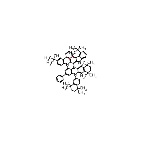 CC(C)(C)c1ccc(N2c3cc(-c4ccccc4)cc4c3B(c3cc5c(cc3N4c3ccc4c(c3)C(C)(C)CCC4(C)C)C(C)(C)CCC5(C)C)c3c2ccc2c3sc3cccc(C(C)(C)C)c32)c(-c2ccccc2)c1